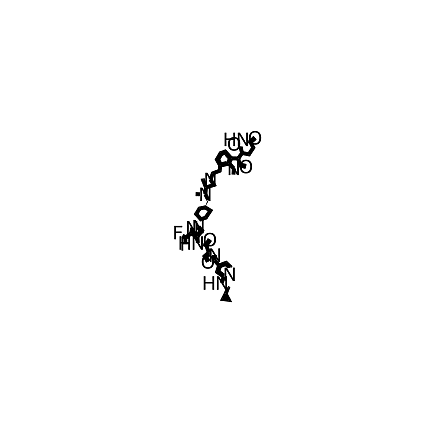 CN1C(=O)C(C2CCC(=O)NC2=O)c2cccc(CCN3CC(N(C)C[C@H]4CC[C@H](n5cc(NC(=O)c6coc(-c7ccnc(NCC8CC8)c7)n6)c(C(F)F)n5)CC4)C3)c21